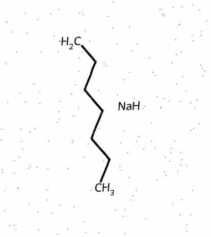 [CH2]CCCCCC.[NaH]